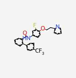 O=C(Nc1ccc(OCCc2ccccn2)c(F)c1)c1ccccc1-c1ccc(C(F)(F)F)cc1